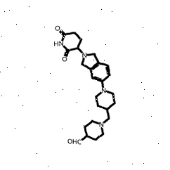 O=CC1CCN(CC2CCN(c3ccc4c(c3)CN(C3CCC(=O)NC3=O)C4)CC2)CC1